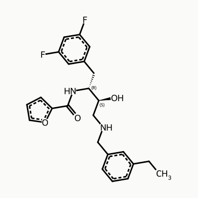 CCc1cccc(CNC[C@H](O)[C@@H](Cc2cc(F)cc(F)c2)NC(=O)c2ccco2)c1